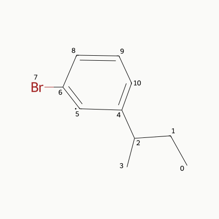 CCC(C)c1[c]c(Br)ccc1